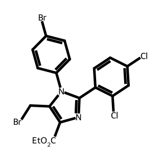 CCOC(=O)c1nc(-c2ccc(Cl)cc2Cl)n(-c2ccc(Br)cc2)c1CBr